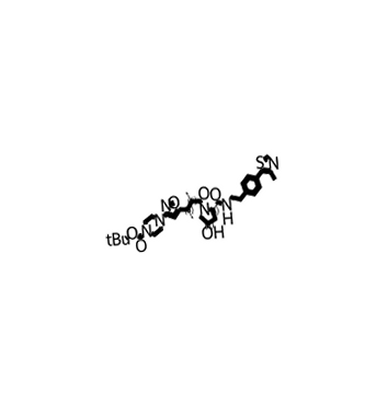 Cc1ncsc1-c1ccc(CCNC(=O)[C@@H]2C[C@@H](O)CN2C(=O)[C@@H](C)[C@H](C)c2cc(N3CCN(C(=O)OC(C)(C)C)CC3)no2)cc1